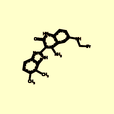 Cc1ccc2nc(-c3c(N)c4cc(NCC(C)C)ccc4[nH]c3=O)[nH]c2c1C